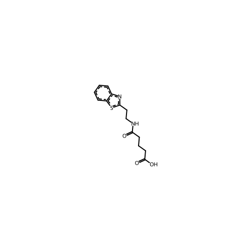 O=C(O)CCCC(=O)NCCc1nc2ccccc2s1